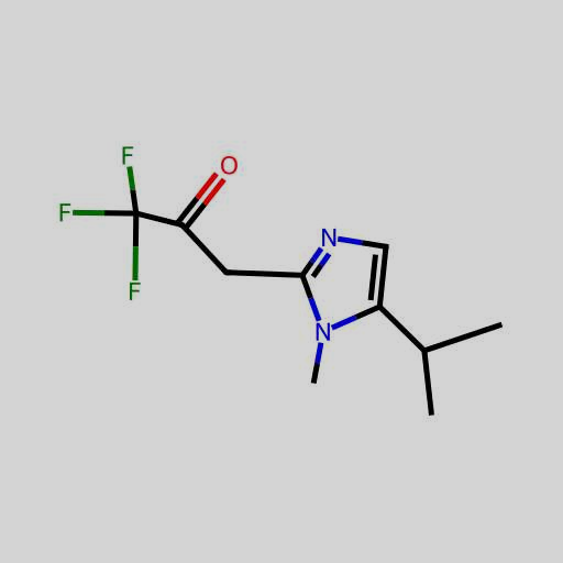 CC(C)c1cnc(CC(=O)C(F)(F)F)n1C